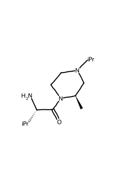 CC(C)[C@H](N)C(=O)N1CCN(C(C)C)C[C@H]1C